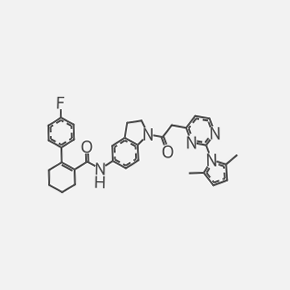 Cc1ccc(C)n1-c1nccc(CC(=O)N2CCc3cc(NC(=O)C4=C(c5ccc(F)cc5)CCCC4)ccc32)n1